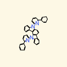 C1=CC(c2cccc(-n3c4ccccc4c4c3ccc3c5ccccc5n(-c5cccc(-c6ccccc6)n5)c34)n2)=CCC1